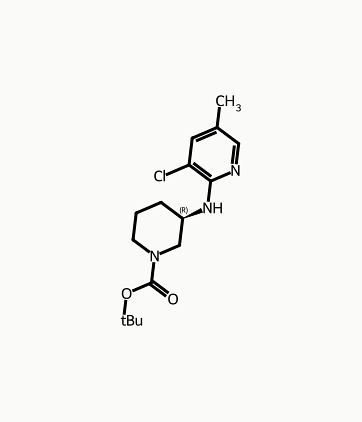 Cc1cnc(N[C@@H]2CCCN(C(=O)OC(C)(C)C)C2)c(Cl)c1